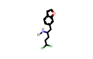 CCNC(CCC(Cl)Cl)Cc1ccc2ccoc2c1